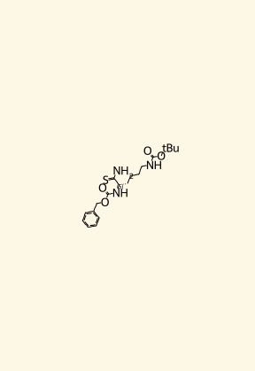 CC(C)(C)OC(=O)NCCCC[C@H](NC(=O)OCc1ccccc1)C(N)=S